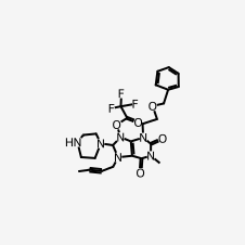 CC#CCN1c2c(n(CCOCc3ccccc3)c(=O)n(C)c2=O)N(OC(=O)C(F)(F)F)C1N1CCNCC1